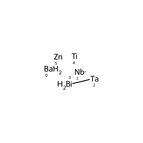 [BaH2].[Nb].[Ta][BiH2].[Ti].[Zn]